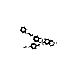 COc1ccc(CN(c2ccc(OCCOC3CCCCC3)cc2F)S(=O)(=O)c2ccc3c(c2)CCNC3)cc1